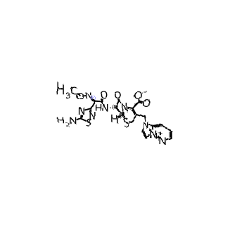 CO/N=C(/C(=O)N[C@@H]1C(=O)N2C(C(=O)[O-])=C(Cn3cc[n+]4ncccc34)CS[C@H]12)c1nsc(N)n1